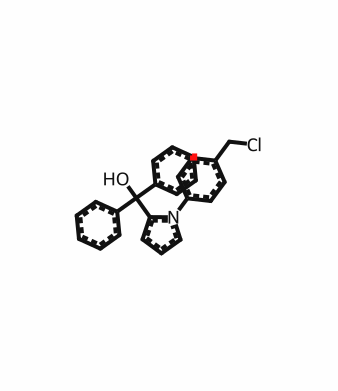 OC(c1ccccc1)(c1ccccc1)c1cccn1-c1ccc(CCl)cc1